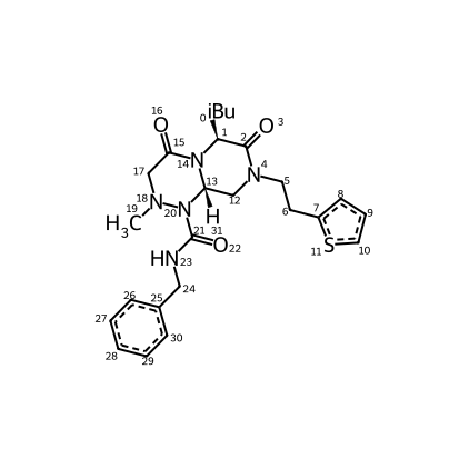 CCC(C)[C@H]1C(=O)N(CCc2cccs2)C[C@H]2N1C(=O)CN(C)N2C(=O)NCc1ccccc1